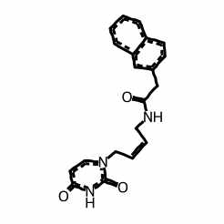 O=C(Cc1ccc2ccccc2c1)NC/C=C\Cn1ccc(=O)[nH]c1=O